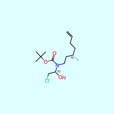 C=CCC[C@H](C)CCN(C(=O)OC(C)(C)C)[C@@H](O)CCl